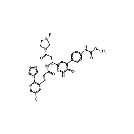 COC(=O)Nc1ccc(-c2cc([C@H](CC(=O)N3CC[C@H](F)C3)NC(=O)C=Cc3cc(Cl)ccc3-n3cnnn3)n[nH]c2=O)cc1